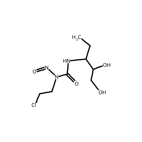 CCC(NC(=O)N(CCCl)N=O)C(O)CO